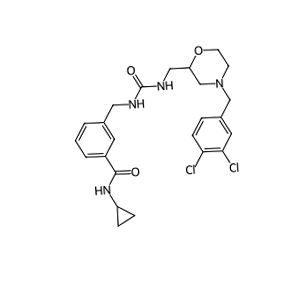 O=C(NCc1cccc(C(=O)NC2CC2)c1)NCC1CN(Cc2ccc(Cl)c(Cl)c2)CCO1